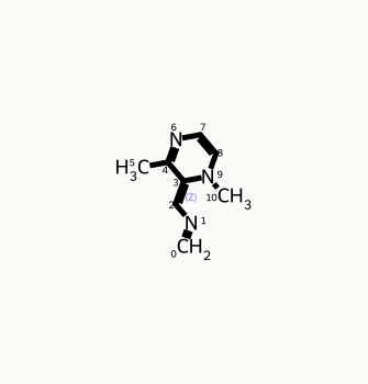 C=N/C=C1/C(C)=NC=CN1C